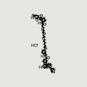 Cl.O=C1CCC(N2Cc3c(NC(=O)CCOCCOCCOCCCCCCOc4cccc(CNC(=O)c5cccc(NC6(c7nnc(-c8ccncc8)[nH]7)CCNCC6)c5)c4)cccc3C2=O)C(=O)N1